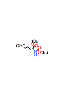 CC(C)(C)OC(=O)N[C@@H](CCCC=O)C(=O)OC(C)(C)C